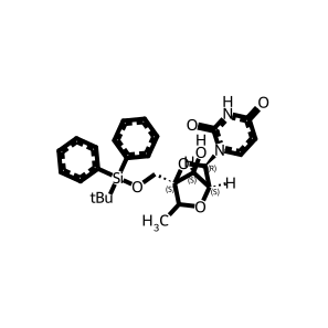 CC1O[C@@H]2[C@H](n3ccc(=O)[nH]c3=O)O[C@@]1(CO[Si](c1ccccc1)(c1ccccc1)C(C)(C)C)[C@H]2O